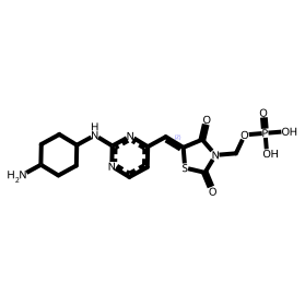 NC1CCC(Nc2nccc(/C=C3\SC(=O)N(COP(=O)(O)O)C3=O)n2)CC1